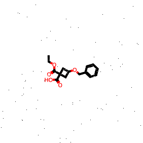 CCOC(=O)C1(C(=O)O)CC(OCc2ccccc2)C1